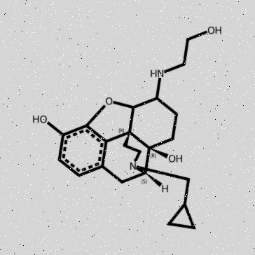 OCCNC1CC[C@]2(O)[C@@H]3Cc4ccc(O)c5c4[C@]2(CCN3CC2CC2)C1O5